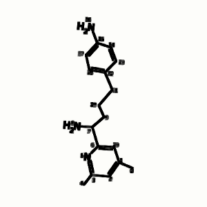 Cc1cc(C)nc(C(N)CCCc2ccc(N)cc2)c1